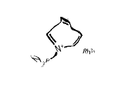 P[n+]1ccccc1.[Rh+3]